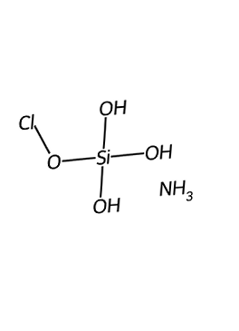 N.O[Si](O)(O)OCl